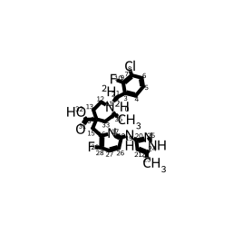 [2H]C([2H])(c1cccc(Cl)c1F)N1CCC(Cc2nc(Nc3cc(C)[nH]n3)ccc2F)(C(=O)O)CC1C